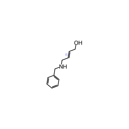 OC/C=C/CNCc1ccccc1